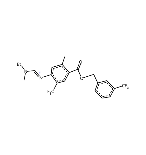 CCN(C)/C=N/c1cc(C)c(C(=O)OCc2cccc(C(F)(F)F)c2)cc1C(F)(F)F